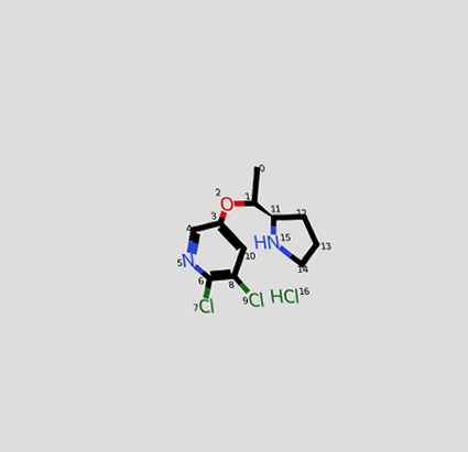 CC(Oc1cnc(Cl)c(Cl)c1)[C@H]1CCCN1.Cl